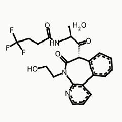 C[C@H](NC(=O)CCC(F)(F)F)C(=O)[C@H]1C(=O)N(CCO)c2ncccc2-c2ccccc21.O